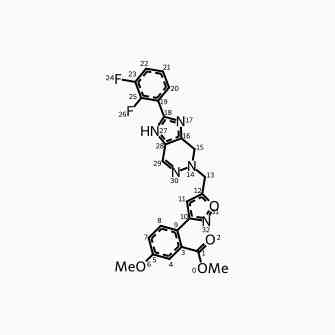 COC(=O)c1cc(OC)ccc1-c1cc(CN2Cc3nc(-c4cccc(F)c4F)[nH]c3C=N2)on1